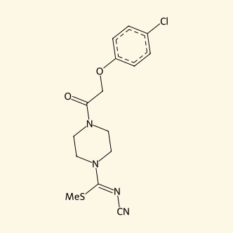 CSC(=NC#N)N1CCN(C(=O)COc2ccc(Cl)cc2)CC1